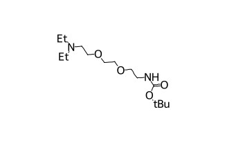 CCN(CC)CCOCCOCCNC(=O)OC(C)(C)C